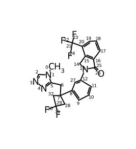 Cn1cnnc1CC1(c2cccc(N3Cc4c(cccc4C(F)(F)F)C3=O)c2)CC(F)(F)C1